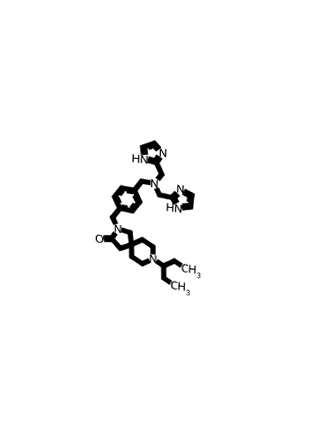 CCC(CC)N1CCC2(CC1)CC(=O)N(Cc1ccc(CN(Cc3ncc[nH]3)Cc3ncc[nH]3)cc1)C2